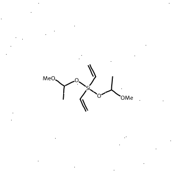 C=C[Si](C=C)(OC(C)OC)OC(C)OC